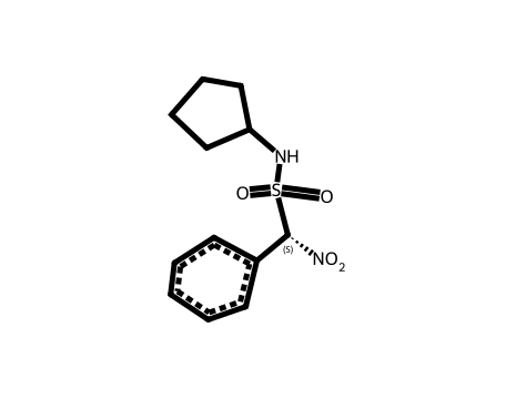 O=[N+]([O-])[C@H](c1ccccc1)S(=O)(=O)NC1CCCC1